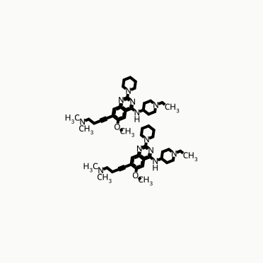 CCN1CCC(Nc2nc(N3CCCCC3)nc3cc(C#CCCN(C)C)c(OC)cc23)CC1.CCN1CCC(Nc2nc(N3CCCCC3)nc3cc(C#CCCN(C)C)c(OC)cc23)CC1